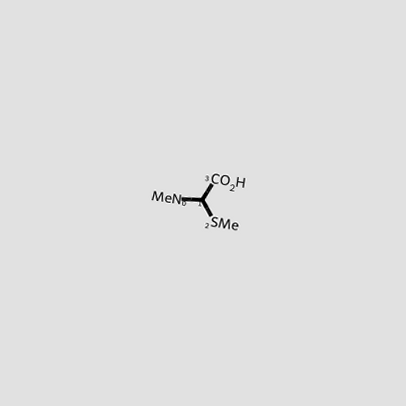 CNC(SC)C(=O)O